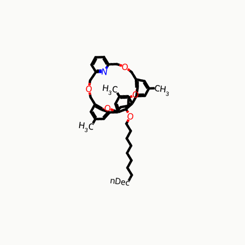 CCCCCCCCCCCCCCCCCCOc1c2cc(C)cc1-c1cc(C)cc3c1OCCCCOc1c(cc(C)cc1-2)COCc1cccc(n1)COC3